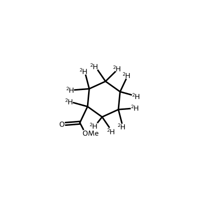 [2H]C1([2H])C([2H])([2H])C([2H])([2H])C([2H])(C(=O)OC)C([2H])([2H])C1([2H])[2H]